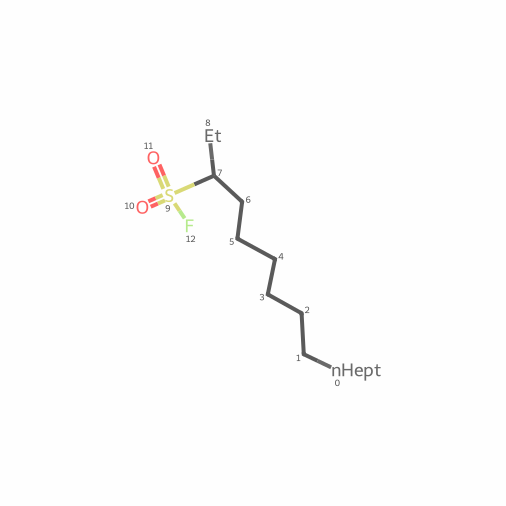 CCCCCCCCCCCCCC(CC)S(=O)(=O)F